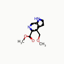 COCc1c(C(=O)OC)ncc2[nH]ccc12